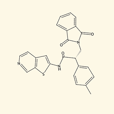 Cc1ccc([C@@H](CN2C(=O)c3ccccc3C2=O)C(=O)Nc2cc3ccncc3s2)cc1